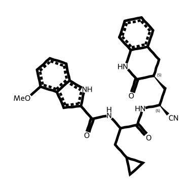 COc1cccc2[nH]c(C(=O)NC(CC3CC3)C(=O)N[C@H](C#N)C[C@@H]3Cc4ccccc4NC3=O)cc12